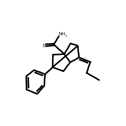 CC/C=C1\C2CC3(c4ccccc4)CC2(C(N)=S)CC13